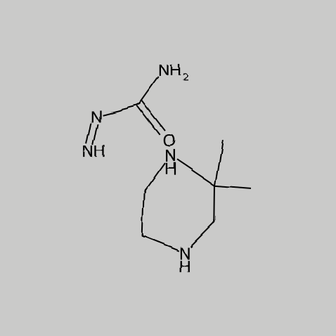 CC1(C)CNCCN1.N=NC(N)=O